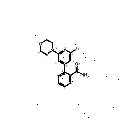 NC(=O)c1ccccc1-c1cc(F)cc(N2CCOCC2)c1